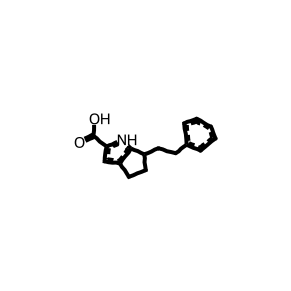 O=C(O)c1cc2c([nH]1)C(CCc1ccccc1)CC2